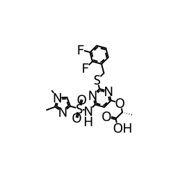 Cc1nc(S(=O)(=O)Nc2cc(O[C@H](C)C(=O)O)nc(SCc3cccc(F)c3F)n2)cn1C